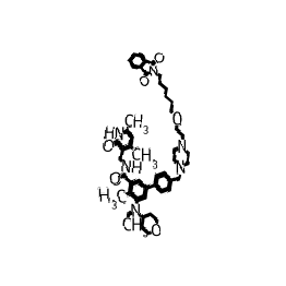 CCN(c1cc(-c2ccc(CN3CCN(CCOCCCCCCN4C(=O)c5ccccc5C4=O)CC3)cc2)cc(C(=O)NCc2c(C)cc(C)[nH]c2=O)c1C)C1CCOCC1